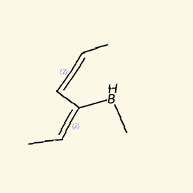 CBC(/C=C\C)=C/C